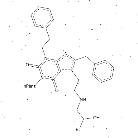 CCCCCn1c(=O)c2c(nc(Cc3ccccc3)n2CCNCC(O)CC)n(CCc2ccccc2)c1=O